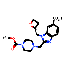 CC(C)(C)OC(=O)N1CCN(Cc2nc3ccc(C(=O)O)cc3n2C[C@@H]2CCO2)CC1